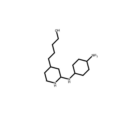 NC1CCC(NC2CC(CCCCO)C[CH]N2)CC1